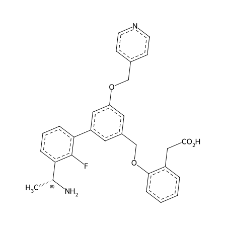 C[C@@H](N)c1cccc(-c2cc(COc3ccccc3CC(=O)O)cc(OCc3ccncc3)c2)c1F